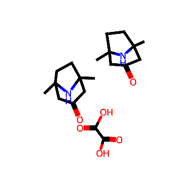 CC12CCC(C)(CC(=O)C1)N2.CC12CCC(C)(CC(=O)C1)N2.O=C(O)C(=O)O